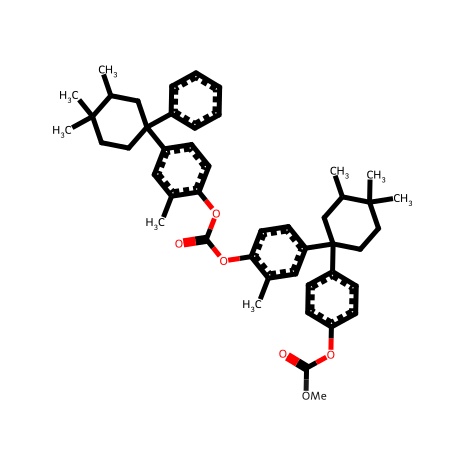 COC(=O)Oc1ccc(C2(c3ccc(OC(=O)Oc4ccc(C5(c6ccccc6)CCC(C)(C)C(C)C5)cc4C)c(C)c3)CCC(C)(C)C(C)C2)cc1